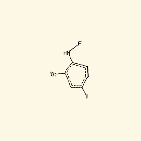 FNc1ccc(I)cc1Br